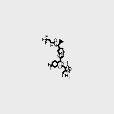 CCc1nonc1C(=O)N[C@H](c1cn2ncc(C(NC(=O)CCC(F)(F)F)C3CC3)cc2n1)C1CCC(F)(F)CC1